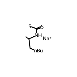 CCCCCC(C)NC(=S)[S-].[Na+]